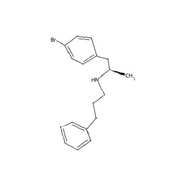 C[C@H](Cc1ccc(Br)cc1)NCCCc1ccccc1